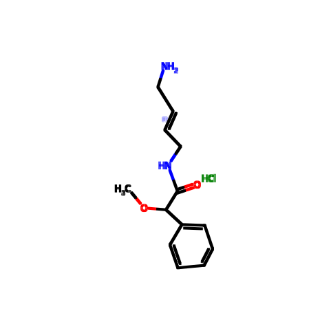 COC(C(=O)NC/C=C/CN)c1ccccc1.Cl